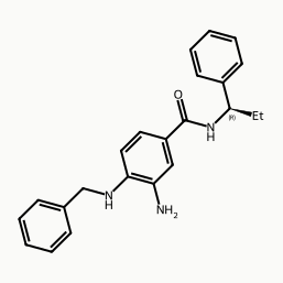 CC[C@@H](NC(=O)c1ccc(NCc2ccccc2)c(N)c1)c1ccccc1